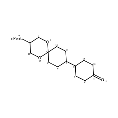 CCCCCC1COC2(CCC(C3CCC(=O)CC3)CC2)OC1